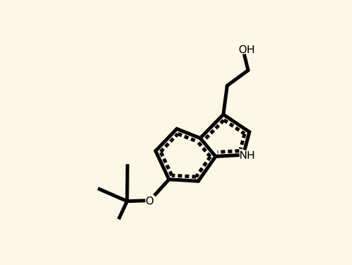 CC(C)(C)Oc1ccc2c(CCO)c[nH]c2c1